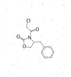 O=C(CCl)N1C(=O)OCC1Cc1ccccc1